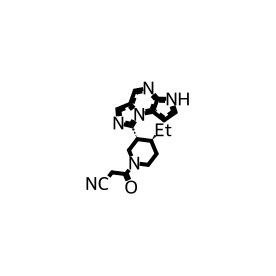 CC[C@@H]1CCN(C(=O)CC#N)C[C@@H]1c1ncc2cnc3[nH]ccc3n12